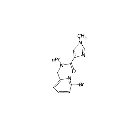 CCCN(Cc1cccc(Br)n1)C(=O)c1cn(C)cn1